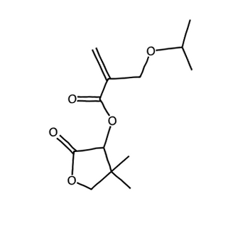 C=C(COC(C)C)C(=O)OC1C(=O)OCC1(C)C